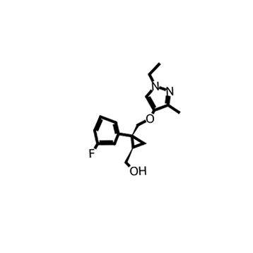 CCn1cc(OC[C@@]2(c3cccc(F)c3)C[C@H]2CO)c(C)n1